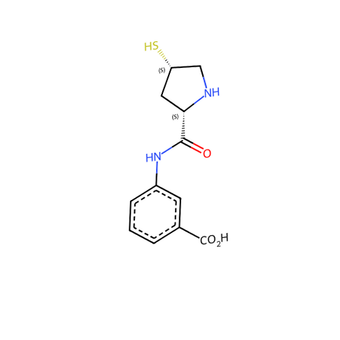 O=C(O)c1cccc(NC(=O)[C@@H]2C[C@H](S)CN2)c1